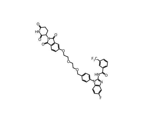 O=C1CCC(N2C(=O)c3ccc(OCCOCCOCc4ccc(-n5c(NC(=O)c6cccc(C(F)(F)F)c6)nc6cc(F)ccc65)cc4)cc3C2=O)C(=O)N1